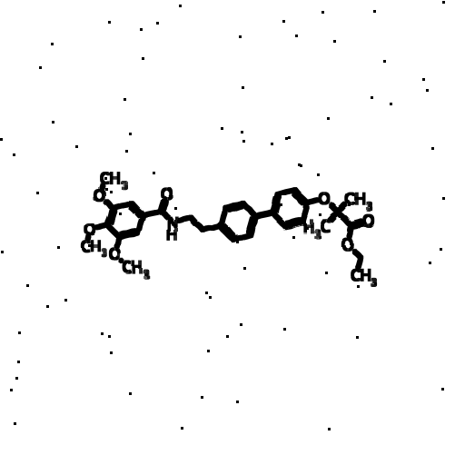 CCOC(=O)C(C)(C)Oc1ccc(-c2ccc(CCNC(=O)c3cc(OC)c(OC)c(OC)c3)cc2)cc1